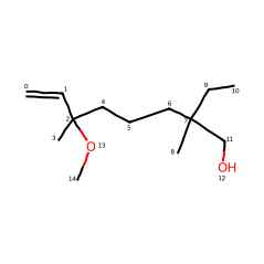 C=CC(C)(CCCC(C)(CC)CO)OC